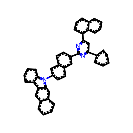 c1ccc(-c2cc(-c3cccc4ccccc34)nc(-c3ccc4cc(-n5c6ccccc6c6cc7ccccc7cc65)ccc4c3)n2)cc1